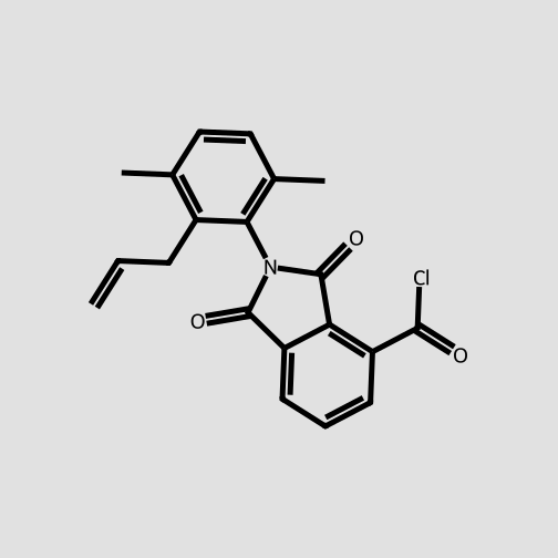 C=CCc1c(C)ccc(C)c1N1C(=O)c2cccc(C(=O)Cl)c2C1=O